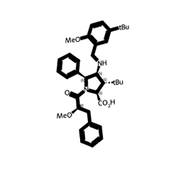 COc1ccc(C(C)(C)C)cc1CN[C@H]1[C@H](C(C)(C)C)[C@@H](C(=O)O)N(C(=O)[C@@H](Cc2ccccc2)OC)[C@H]1c1ccccc1